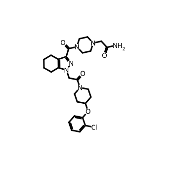 NC(=O)CN1CCN(C(=O)c2nn(CC(=O)N3CCC(Oc4ccccc4Cl)CC3)c3c2CCCC3)CC1